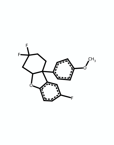 COc1ccc(C23CCC(F)(F)CC2Oc2ccc(F)cc23)cc1